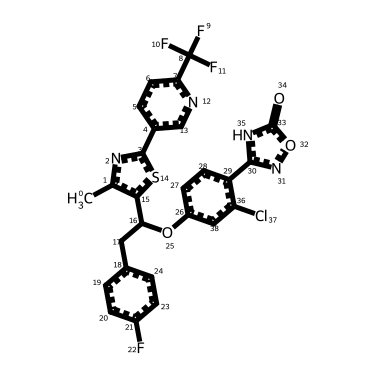 Cc1nc(-c2ccc(C(F)(F)F)nc2)sc1C(Cc1ccc(F)cc1)Oc1ccc(-c2noc(=O)[nH]2)c(Cl)c1